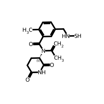 C=C(C)N(C(=O)c1cc(CNS)ccc1C)[C@H]1CCC(=O)NC1=O